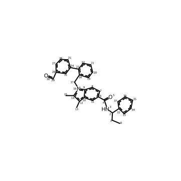 CCC(NC(=O)c1ccc2c(c1)c(C)c(C)n2Cc1ccccc1-c1cccc(C=O)c1)c1ccccc1